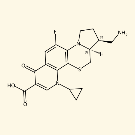 NC[C@@H]1CCN2c3c(F)cc4c(=O)c(C(=O)O)cn(C5CC5)c4c3SC[C@H]12